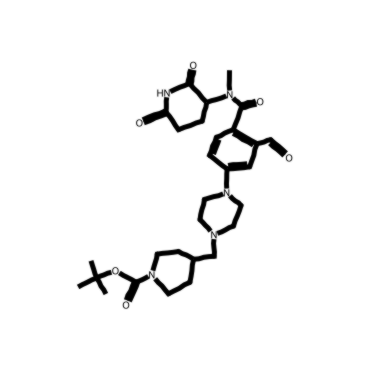 CN(C(=O)c1ccc(N2CCN(CC3CCN(C(=O)OC(C)(C)C)CC3)CC2)cc1C=O)C1CCC(=O)NC1=O